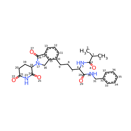 CC(C)C(=O)NC(CCCc1cccc2c1CN(C1CCC(=O)NC1=O)C2=O)C(=O)NCc1ccccc1